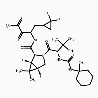 CC(=O)C(=O)C(CC1CC1(F)F)NC(=O)[C@@H]1[C@@H]2[C@H](CN1C(=O)[C@@H](NC(=O)NC1(C)CCCCC1)C(C)(C)C)C2(C)C